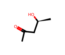 CC(=O)C[C@H](C)O